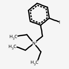 CC[N+](CC)(CC)Cc1ccccc1I